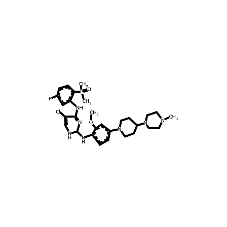 COc1cc(N2CCC(N3CCN(C)CC3)CC2)ccc1NC1N=C(Nc2cc(F)ccc2P(C)(C)=O)C(Cl)=CN1